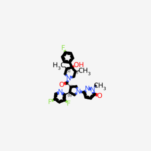 C[C@@H]1CN(C(=O)[C@@H]2CN(c3ccc(=O)n(C)n3)C[C@H]2c2ncc(F)cc2F)C[C@H](C)C1(O)c1ccc(F)cc1